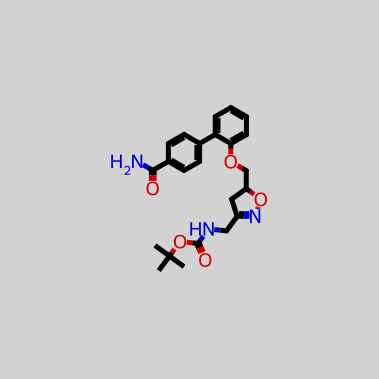 CC(C)(C)OC(=O)NCC1=NOC(COc2ccccc2-c2ccc(C(N)=O)cc2)C1